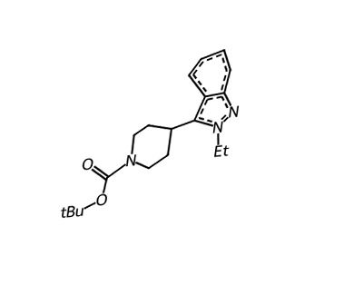 CCn1nc2ccccc2c1C1CCN(C(=O)OC(C)(C)C)CC1